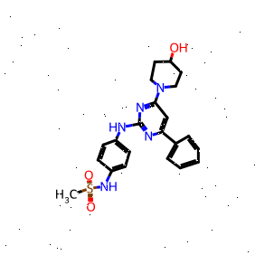 CS(=O)(=O)Nc1ccc(Nc2nc(-c3ccccc3)cc(N3CCC(O)CC3)n2)cc1